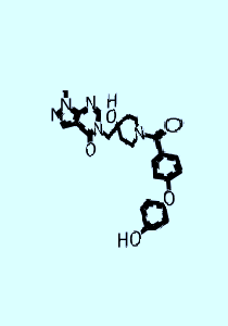 Cn1ncc2c(=O)n(CC3(O)CCN(C(=O)c4ccc(Oc5ccc(O)cc5)cc4)CC3)cnc21